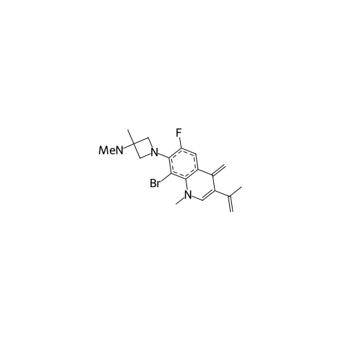 C=C(C)C1=CN(C)c2c(cc(F)c(N3CC(C)(NC)C3)c2Br)C1=C